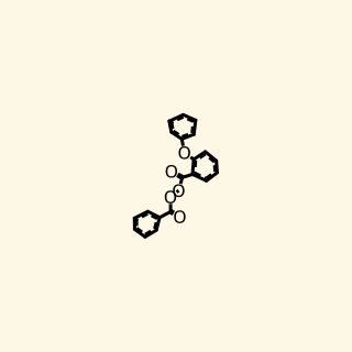 O=C(OOC(=O)c1ccccc1Oc1ccccc1)c1ccccc1